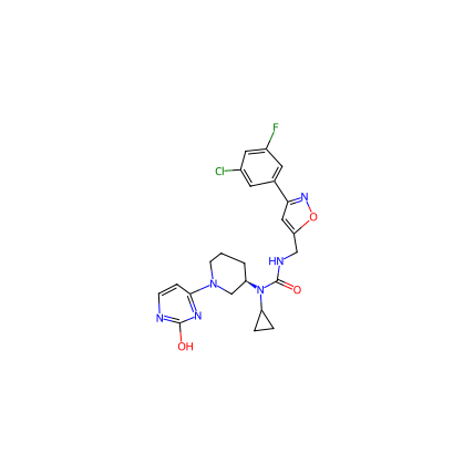 O=C(NCc1cc(-c2cc(F)cc(Cl)c2)no1)N(C1CC1)[C@@H]1CCCN(c2ccnc(O)n2)C1